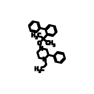 CCN1CCN(OC(C)(C)c2ccccc2-c2ccccc2)CC1c1ccccc1